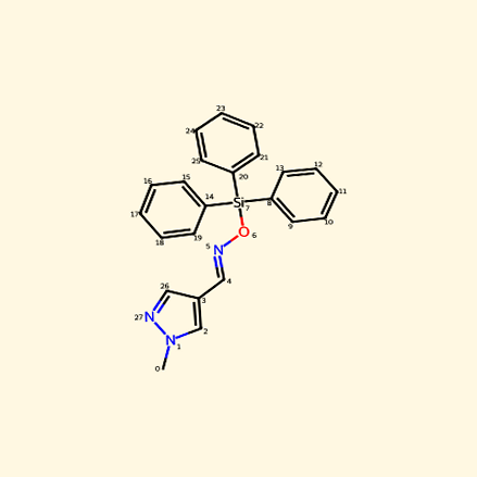 Cn1cc(/C=N/O[Si](c2ccccc2)(c2ccccc2)c2ccccc2)cn1